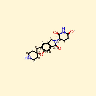 O=C1CCC(N2Cc3cc4c(cc3C2=O)OC2(CCNCC2)C4)C(=O)N1